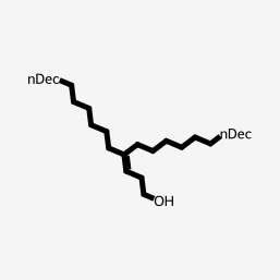 CCCCCCCCCCCCCCCCC(=CCCO)CCCCCCCCCCCCCCCC